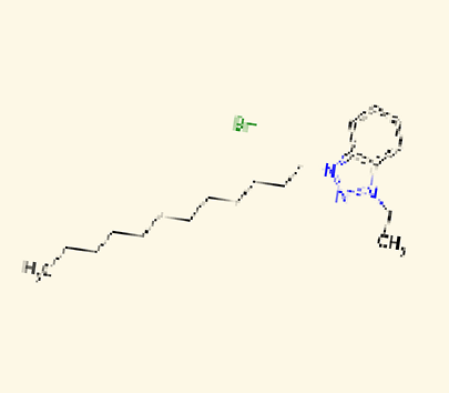 CCCCCCCCCCCC[n+]1nn(CC)c2ccccc21.[Br-]